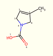 CC1=CCN(C(=O)O)C1